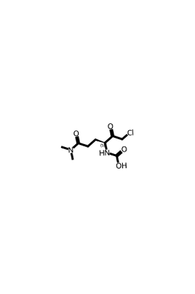 CN(C)C(=O)CC[C@H](NC(=O)O)C(=O)CCl